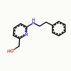 OCc1cccc(NCCc2ccccc2)n1